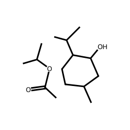 CC(=O)OC(C)C.CC1CCC(C(C)C)C(O)C1